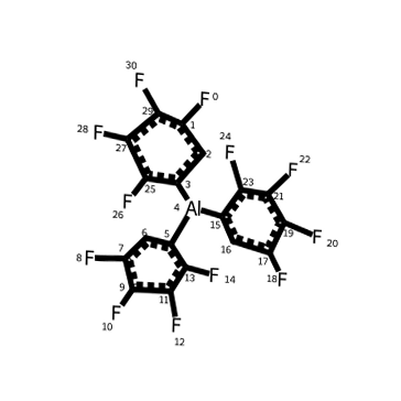 Fc1c[c]([Al]([c]2cc(F)c(F)c(F)c2F)[c]2cc(F)c(F)c(F)c2F)c(F)c(F)c1F